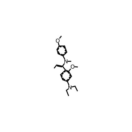 C/C=C(\c1ccc(N(CC)CC)cc1OC)N(C)c1ccc(OC)cc1